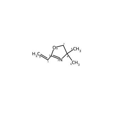 C=CC1=NC(C)(C)CO1